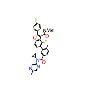 CNC(=O)c1c(-c2ccc(F)cc2)oc2ccc(-c3cc(C(=O)N(c4cnc(C)cn4)C4CC4)ccc3C)c(F)c12